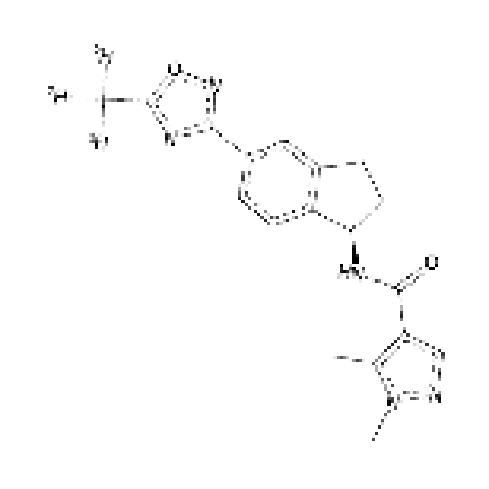 [2H]C([2H])([2H])c1nc(-c2ccc3c(c2)CC[C@H]3NC(=O)c2cnn(C)c2C)no1